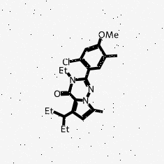 CCC(CC)c1cc(C)n2nc(-c3cc(C)c(OC)cc3Cl)n(CC)c(=O)c12